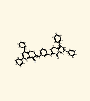 O=C1C(=Cc2cccc(C=C3CCc4c(-c5ccccc5)cc(-c5ccccc5)nc4C3=O)c2)CCc2c(-c3ccccc3)cc(-c3ccccc3)nc21